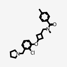 Cc1ccc(C(=O)N(C)CC2CC(Oc3cccc(CN4CCCC4)c3Cl)C2)cc1